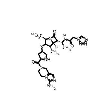 CC(NC(=O)Cn1cnnn1)[C@H]1C(=O)N2C(C(=O)O)C(SC3CNC(C(=O)N4CCn5c(cnc5N)C4)C3)[C@H](C)[C@H]12